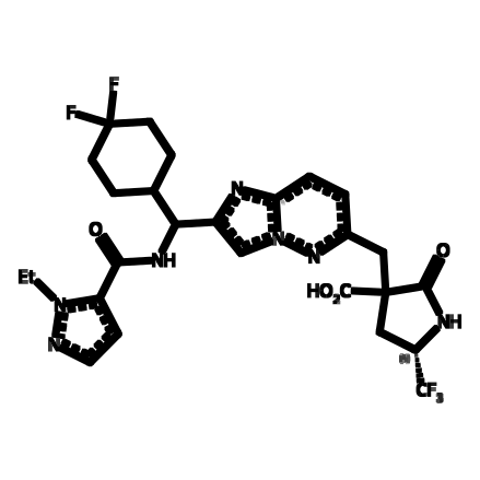 CCn1nccc1C(=O)NC(c1cn2nc(CC3(C(=O)O)C[C@@H](C(F)(F)F)NC3=O)ccc2n1)C1CCC(F)(F)CC1